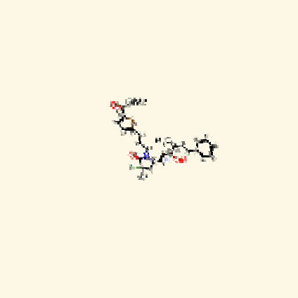 CCC1(F)C[C@H](/C=C/[C@H](O)[C@@H](C)CCc2ccccc2)N(CCCc2ccc(C(=O)OC)s2)C1=O